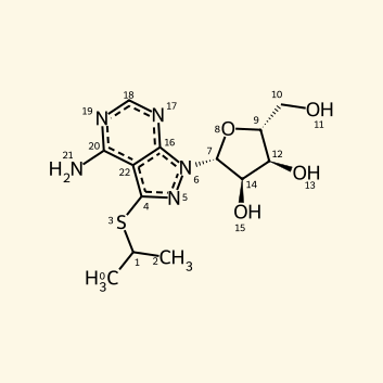 CC(C)Sc1nn([C@@H]2O[C@H](CO)[C@@H](O)[C@H]2O)c2ncnc(N)c12